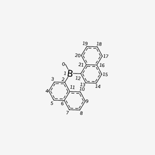 CB(c1cccc2ccccc12)c1cccc2ccccc12